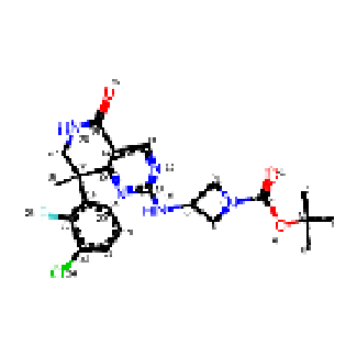 CC(C)(C)OC(=O)N1CC(Nc2ncc3c(n2)[C@](C)(c2cccc(Cl)c2F)CNC3=O)C1